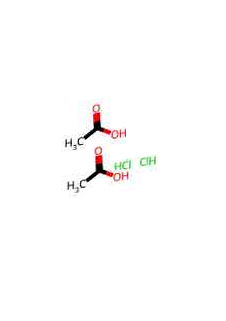 CC(=O)O.CC(=O)O.Cl.Cl